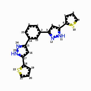 c1cc(-c2cc(-c3cccs3)[nH]n2)cc(-c2cc(-c3cccs3)[nH]n2)c1